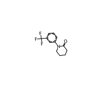 O=C1CCCCN1c1cccc(C(F)(F)F)c1